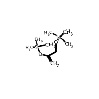 C=C(CO[Si](C)(C)C)O[Si](C)(C)C